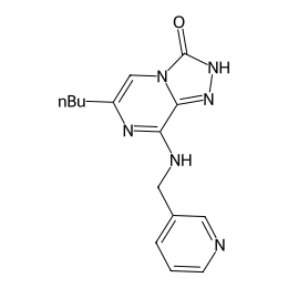 CCCCc1cn2c(=O)[nH]nc2c(NCc2cccnc2)n1